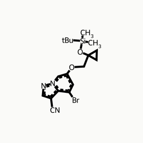 CC(C)(C)[Si](C)(C)OC1(COc2cc(Br)c3c(C#N)cnn3c2)CC1